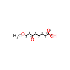 COCCC(=O)CCCCC(=O)O